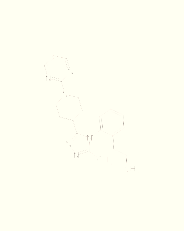 CCCc1ccccc1-n1c(C)nnc1C1CCN(c2ncccn2)CC1